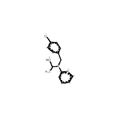 CC(O)N(Cc1ccc(Cl)cc1)c1ccccn1